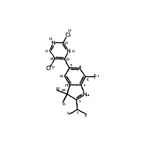 CC(C)C1=Nc2c(F)cc(-c3nc(Cl)ncc3Cl)cc2C1(C)C